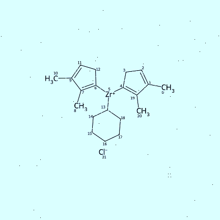 CC1=CC[C]([Zr+]([C]2=C(C)C(C)=CC2)[CH]2CCCCC2)=C1C.[Cl-]